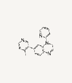 Cc1ccncc1-c1ccc2c(c1)N(c1ccccn1)CC=N2